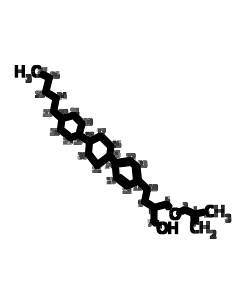 C=C(C)COCC(CO)CCc1ccc(C2CCC(C3CCC(CCCCC)CC3)CC2)cc1